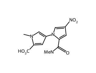 CNC(=O)c1cc([N+](=O)[O-])cn1-c1cc(C(=O)O)n(C)c1